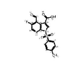 Cc1ccc(S(=O)(=O)n2cc(C(=O)O)c3c(C=O)c(F)cnc32)cc1